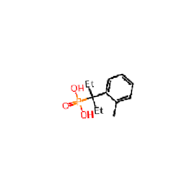 CCC(CC)(c1ccccc1C)P(=O)(O)O